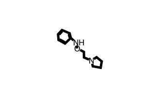 c1ccc(NOCCN2CCCC2)cc1